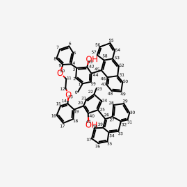 Cc1cc(-c2ccccc2OCCOc2ccccc2-c2cc(C)cc(-c3c4ccccc4cc4ccccc34)c2O)c(O)c(-c2c3ccccc3cc3ccccc23)c1